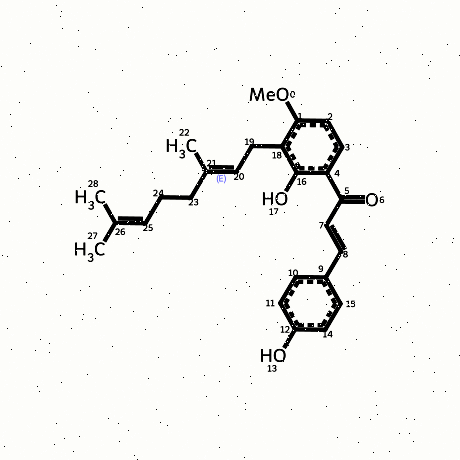 COc1ccc(C(=O)C=Cc2ccc(O)cc2)c(O)c1C/C=C(\C)CCC=C(C)C